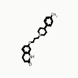 Cc1ccc(C2CCN(CCCOc3ccc4c(c3)NC(=O)CC4)CC2)cc1